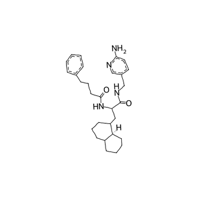 Nc1ccc(CNC(=O)C(CC2CCCC3CCCC[C@@H]32)NC(=O)CCCc2ccccc2)cn1